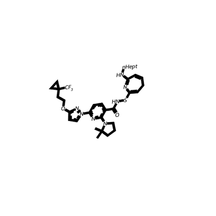 CCCCCCCNC1=NC(SNC(=O)c2ccc(-n3ccc(OCCC4(C(F)(F)F)CC4)n3)nc2N2CCCC2(C)C)=CCC=C1